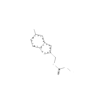 CC(C)(C)OC(=O)NCc1cc2cc(O)ccc2[nH]1